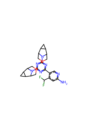 Nc1cc(C(F)F)c(-c2nc(N3C4COCC3C3CC34)nc(N3C4COCC3C3CC34)n2)cn1